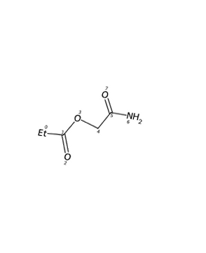 CCC(=O)OCC(N)=O